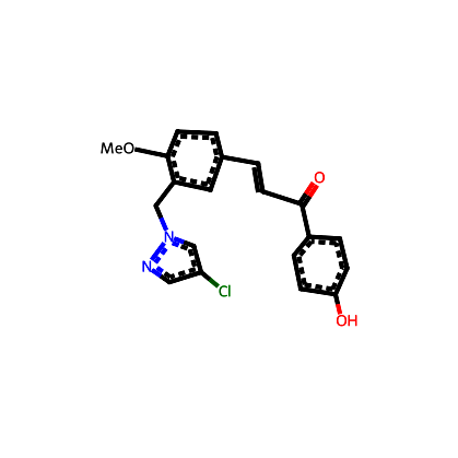 COc1ccc(/C=C/C(=O)c2ccc(O)cc2)cc1Cn1cc(Cl)cn1